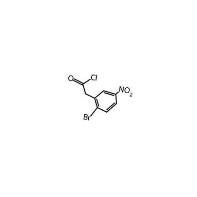 O=C(Cl)Cc1cc([N+](=O)[O-])ccc1Br